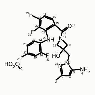 CC(=O)O.Cc1cc(N)n(CC2(O)CN(C(=O)c3ccc(F)c(F)c3Nc3ccc(I)cc3F)C2)n1